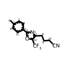 Cc1ccc(-c2nc(CCCC#N)c(C(F)(F)F)o2)cc1